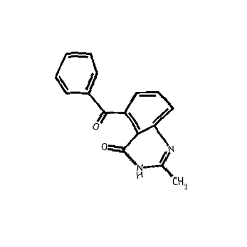 Cc1nc2cccc(C(=O)c3ccccc3)c2c(=O)[nH]1